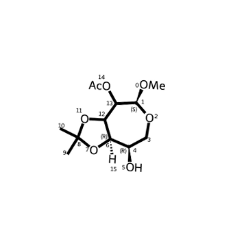 CO[C@H]1OC[C@@H](O)[C@H]2OC(C)(C)OC2C1OC(C)=O